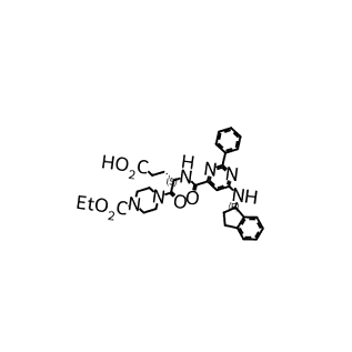 CCOC(=O)N1CCN(C(=O)[C@H](CCC(=O)O)NC(=O)c2cc(N[C@@H]3CCc4ccccc43)nc(-c3ccccc3)n2)CC1